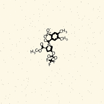 COC(=O)[C@@H]1CC(OS(=O)(=O)C(F)(F)F)=CN1C(=O)c1cc(C)c(C)cc1[N+](=O)[O-]